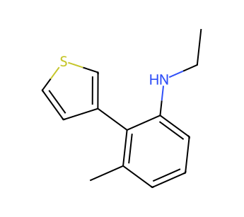 CCNc1cccc(C)c1-c1ccsc1